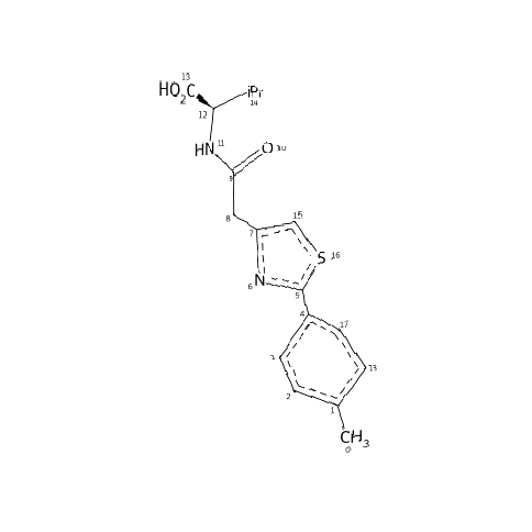 Cc1ccc(-c2nc(CC(=O)N[C@@H](C(=O)O)C(C)C)cs2)cc1